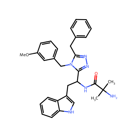 COc1cccc(Cn2c(Cc3ccccc3)nnc2C(Cc2c[nH]c3ccccc23)NC(=O)C(C)(C)N)c1